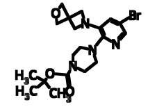 CC(C)(C)OC(=O)N1CCN(c2ncc(Br)cc2N2CC3(COC3)C2)CC1